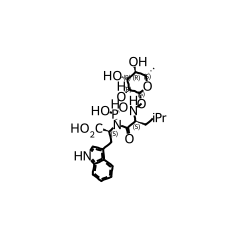 CC(C)C[C@H](NO[C@@H]1O[C@@H](C)[C@H](O)[C@@H](O)[C@H]1O)C(=O)N([C@@H](Cc1c[nH]c2ccccc12)C(=O)O)[PH](=O)O